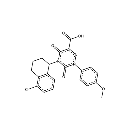 COc1ccc(-n2nc(C(=O)O)c(=O)n(C3CCCc4c(Cl)cccc43)c2=O)cc1